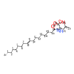 CCCCCCCCC=CCCCCCCCC(=O)NC(CC(C)C)C(=O)O